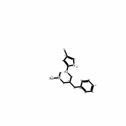 CC(=O)N(C)CC(COc1cc(C)cs1)Cc1ccccc1